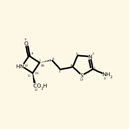 NC1=NCC(CC[C@H]2C(=O)N[C@@H]2C(=O)O)S1